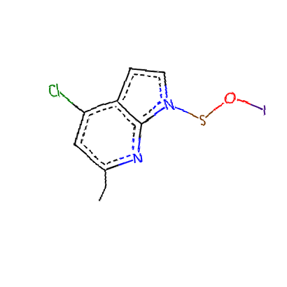 Cc1cc(Cl)c2ccn(SOI)c2n1